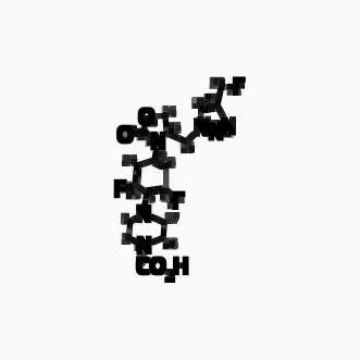 O=C(O)N1CCN(c2c(F)cc(N3C(=O)OCC3Cn3cc(CF)nn3)cc2F)CC1